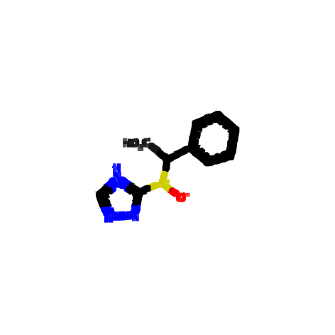 O=C(O)C(c1ccccc1)[S+]([O-])c1nnc[nH]1